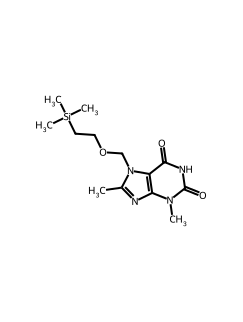 Cc1nc2c(c(=O)[nH]c(=O)n2C)n1COCC[Si](C)(C)C